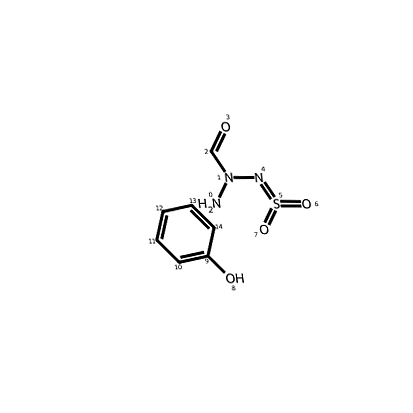 NN(C=O)N=S(=O)=O.Oc1ccccc1